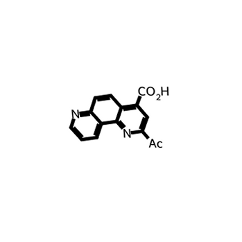 CC(=O)c1cc(C(=O)O)c2ccc3ncccc3c2n1